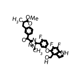 COC(=O)[C@H](C)Cc1cccc(C(=O)c2nc(-c3cc(Oc4c(F)c(F)c5[nH]ccc5c4CO)ccc3F)n(C)n2)c1